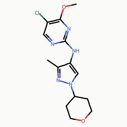 COc1nc(Nc2cn(C3CCOCC3)nc2C)ncc1Cl